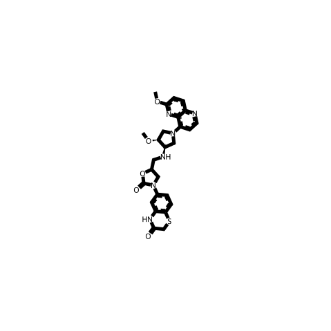 COc1ccc2nccc(N3C[C@@H](NCC4CN(c5ccc6c(c5)NC(=O)CS6)C(=O)O4)[C@H](OC)C3)c2n1